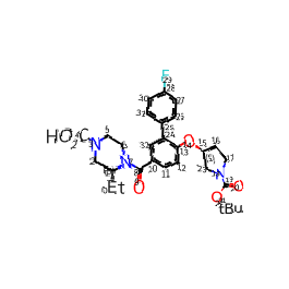 CC[C@H]1CN(C(=O)O)CCN1C(=O)c1ccc(O[C@H]2CCN(C(=O)OC(C)(C)C)C2)c(-c2ccc(F)cc2)c1